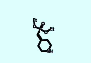 CCOP(=O)(C=C1CCNCC1)OCC